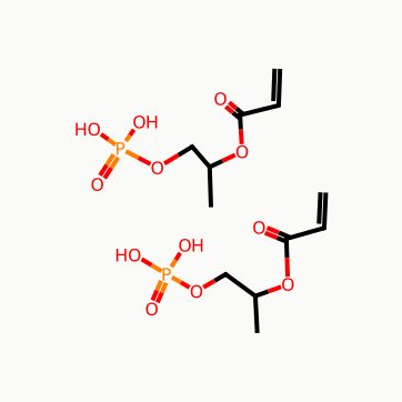 C=CC(=O)OC(C)COP(=O)(O)O.C=CC(=O)OC(C)COP(=O)(O)O